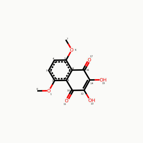 COc1ccc(OC)c2c1C(=O)C(O)=C(O)C2=O